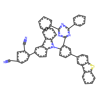 N#Cc1ccc(-c2ccc3c(c2)c2ccccc2n3-c2ccc(-c3ccc4sc5ccccc5c4c3)cc2-c2nc(-c3ccccc3)nc(-c3ccccc3)n2)c(C#N)c1